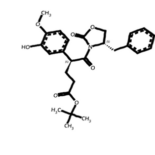 COc1ccc([C@H](CCC(=O)OC(C)(C)C)C(=O)N2C(=O)OC[C@@H]2Cc2ccccc2)cc1O